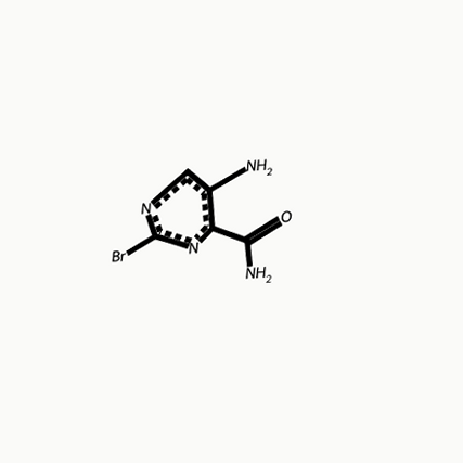 NC(=O)c1nc(Br)ncc1N